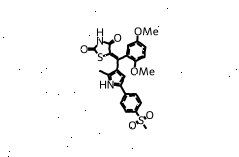 COc1ccc(OC)c(C(=C2SC(=O)NC2=O)c2cc(-c3ccc(S(C)(=O)=O)cc3)[nH]c2C)c1